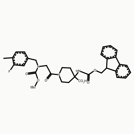 Cc1ccc(CN(CC(=O)N2CCC(NC(=O)OCC3c4ccccc4-c4ccccc43)(C(=O)O)CC2)C(=O)OC(C)(C)C)cc1F